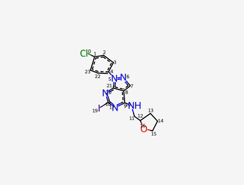 Clc1ccc(-n2ncc3c(NCC4CCCO4)nc(I)nc32)cc1